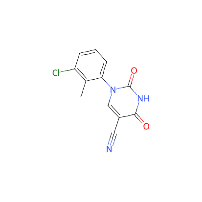 Cc1c(Cl)cccc1-n1cc(C#N)c(=O)[nH]c1=O